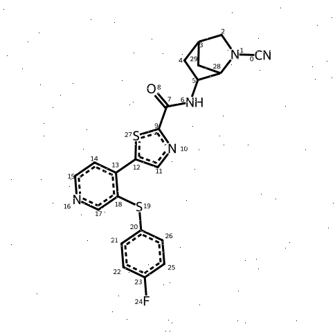 N#CN1CC2CC(NC(=O)c3ncc(-c4ccncc4Sc4ccc(F)cc4)s3)C1C2